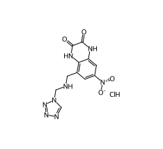 Cl.O=c1[nH]c2cc([N+](=O)[O-])cc(CNCn3cnnn3)c2[nH]c1=O